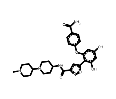 CN1CCC(N2CCC(NC(=O)c3cc(-c4c(O)cc(O)cc4Oc4ccc(C(N)=O)cc4)on3)CC2)CC1